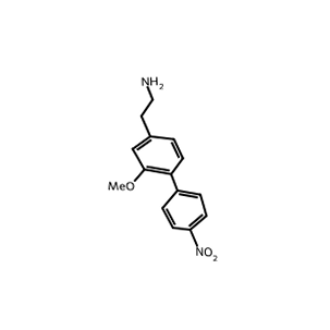 COc1cc(CCN)ccc1-c1ccc([N+](=O)[O-])cc1